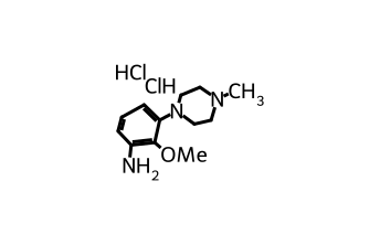 COc1c(N)cccc1N1CCN(C)CC1.Cl.Cl